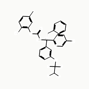 Cc1ccc(C(C)C)c(OC(=O)N[C@](Cc2ccccc2)(c2cccc(OC(F)(F)C(F)F)c2)c2ccc(Cl)cn2)c1